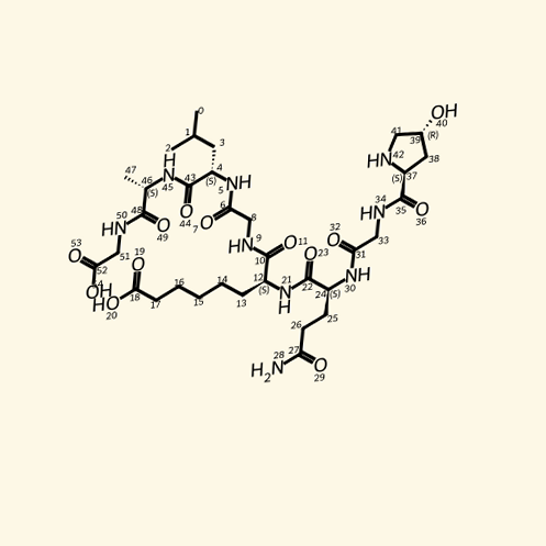 CC(C)C[C@H](NC(=O)CNC(=O)[C@H](CCCCCC(=O)O)NC(=O)[C@H](CCC(N)=O)NC(=O)CNC(=O)[C@@H]1C[C@@H](O)CN1)C(=O)N[C@@H](C)C(=O)NCC(=O)O